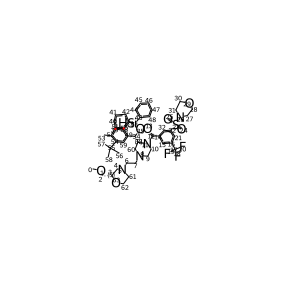 COC[C@@H]1CN(CCN2CCN(C(=O)c3cc(C(F)(F)F)cc(S(=O)(=O)N4CCOCC4)c3)[C@@H](C(O[SiH](c3ccccc3)c3ccccc3)c3ccc(C)c(C(C)(C)C)c3)C2)CCO1